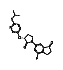 CC(C)Sc1ccc(O[C@@H]2CCN(c3cc(F)c4c(c3)C(=O)CC4)C2=O)cn1